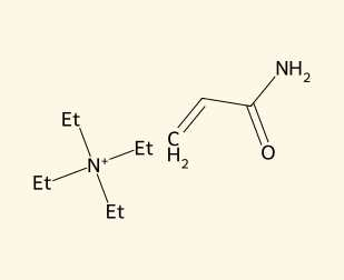 C=CC(N)=O.CC[N+](CC)(CC)CC